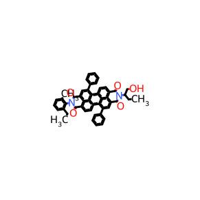 CCc1cccc(C)c1N1C(=O)c2ccc3c4c(-c5ccccc5)cc5c6c(ccc(c7c(-c8ccccc8)cc(c2c37)C1=O)c64)C(=O)N(C(CC)CO)C5=O